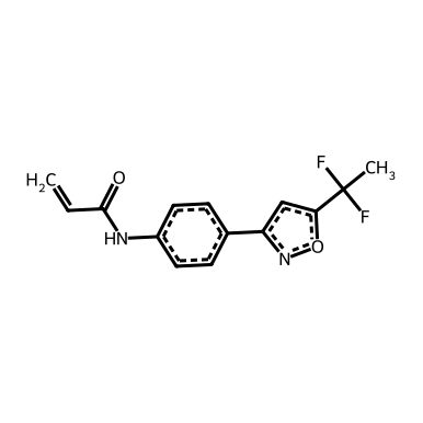 C=CC(=O)Nc1ccc(-c2cc(C(C)(F)F)on2)cc1